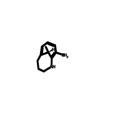 BC1=C2NCCCC(=CC=C1)[C@H]2C